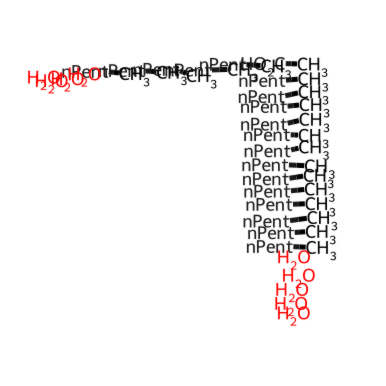 CC(=O)O.CCCCCC.CCCCCC.CCCCCC.CCCCCC.CCCCCC.CCCCCC.CCCCCC.CCCCCC.CCCCCC.CCCCCC.CCCCCC.CCCCCC.CCCCCC.CCCCCC.CCCCCC.CCCCCC.CCCCCC.CCCCCC.O.O.O.O.O.O.O.O.O